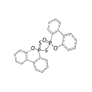 O=P1(SP2(=S)Oc3ccccc3-c3ccccc32)Oc2ccccc2-c2ccccc21